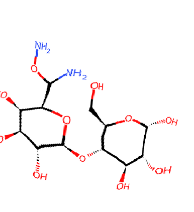 NOC(N)[C@H]1O[C@@H](O[C@H]2[C@H](O)[C@@H](O)[C@@H](O)O[C@@H]2CO)[C@H](O)[C@@H](O)[C@H]1O